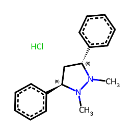 CN1[C@@H](c2ccccc2)C[C@H](c2ccccc2)N1C.Cl